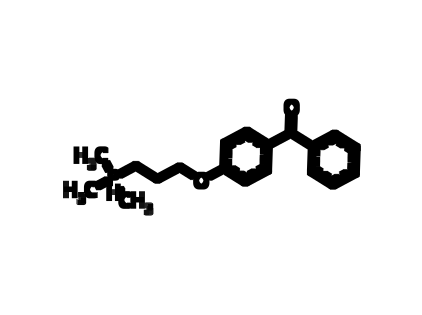 C[PH](C)(C)CCCOc1ccc(C(=O)c2ccccc2)cc1